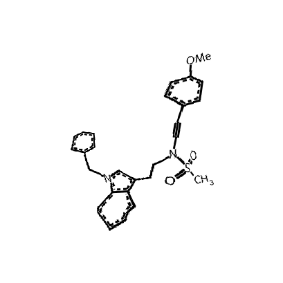 COc1ccc(C#CN(CCc2cn(Cc3ccccc3)c3ccccc23)S(C)(=O)=O)cc1